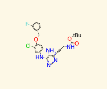 CC(C)(C)OC(=O)NCC#Cc1ncnc(Nc2ccc(OCc3cccc(F)c3)c(Cl)c2)c1N